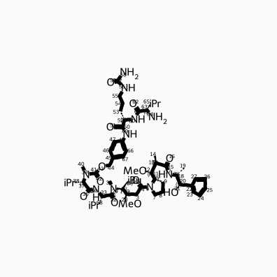 CC[C@H](C)[C@@H]([C@@H](CC(=O)N1CCC[C@H]1[C@H](OC)[C@@H](C)C(=O)N[C@H](C)[C@@H](O)c1ccccc1)OC)N(C)C(=O)[C@@H](NC(=O)[C@H](C(C)C)N(C)C(=O)OCc1ccc(NC(=O)[C@H](CCCNC(N)=O)NC(=O)[C@@H](N)C(C)C)cc1)C(C)C